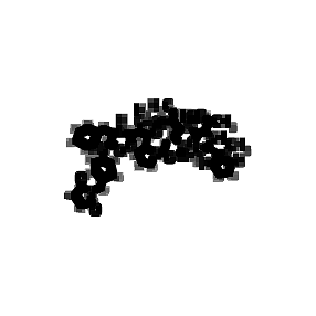 CC[C@H](C)[C@@H]([C@@H](CC(=O)N1CCCC1[C@H](OC)[C@@H](C)C(=O)NC(Cc1ccccc1)C(=O)Nc1ccc(CN2C(=O)C=CC2=O)cc1)OC)N(C)C(=O)C(NC(=O)[C@@H]1[C@H]2CC[C@H](C2)N1C)C(C)C